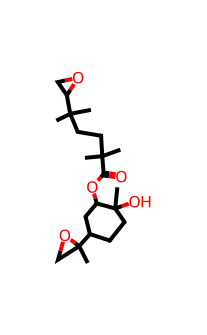 CC(C)(CCC(C)(C)C1CO1)C(=O)OC1CC(C2(C)CO2)CCC1(C)O